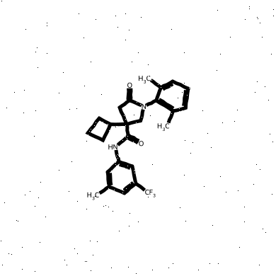 Cc1cc(NC(=O)C2(C3CCC3)CC(=O)N(c3c(C)cccc3C)C2)cc(C(F)(F)F)c1